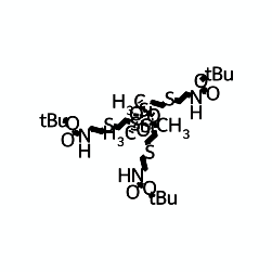 CC(C)(C)OC(=O)NCCSCC[Si]1(C)O[Si](C)(CCSCCNC(=O)OC(C)(C)C)O[Si](C)(CCSCCNC(=O)OC(C)(C)C)O1